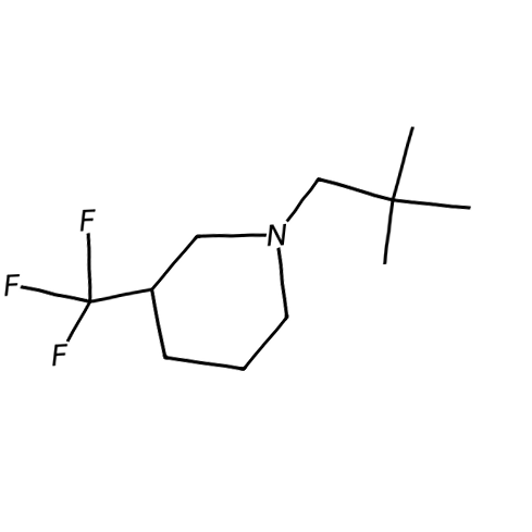 CC(C)(C)CN1CCCC(C(F)(F)F)C1